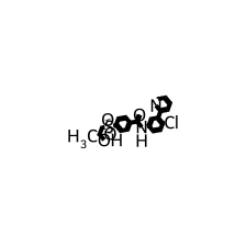 C[C@H](O)CS(=O)(=O)c1ccc(C(=O)Nc2ccc(Cl)c(-c3ccccn3)c2)cc1